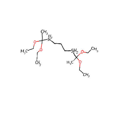 CCOC(C)(OCC)[SiH2]CCC[SiH2]C(C)(OCC)OCC